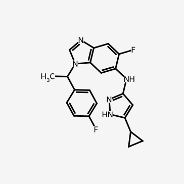 CC(c1ccc(F)cc1)n1cnc2cc(F)c(Nc3cc(C4CC4)[nH]n3)cc21